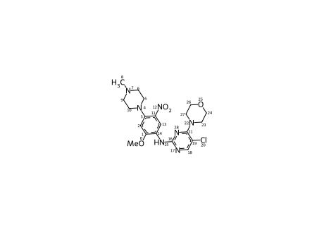 COc1cc(N2CCN(C)CC2)c([N+](=O)[O-])cc1Nc1ncc(Cl)c(N2CCOCC2)n1